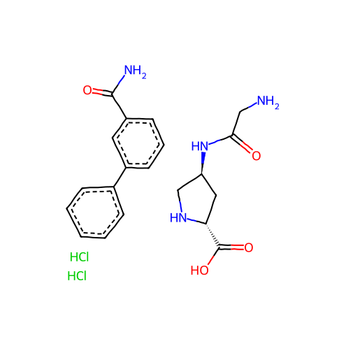 Cl.Cl.NC(=O)c1cccc(-c2ccccc2)c1.NCC(=O)N[C@@H]1CN[C@@H](C(=O)O)C1